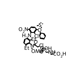 CCc1cccc(CC)c1N(COC)C(=O)CCl.C[S+](C)C.Nc1c([N+](=O)[O-])ccc(Oc2ccccc2)c1Cl.O=C(O)CNCP(=O)([O-])O